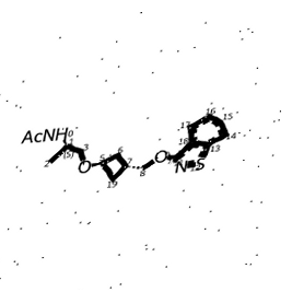 CC(=O)N[C@@H](C)CO[C@H]1C[C@H](COc2nsc3ccccc23)C1